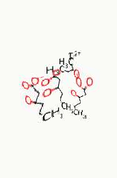 CCCC(=O)CC(=O)OOC(C)CC.CCCC(=O)CC(=O)[O-].CCCC(=O)CC(=O)[O-].[Ti+2]